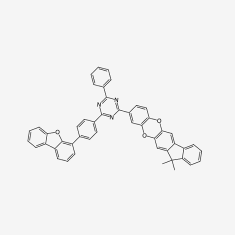 CC1(C)c2ccccc2-c2cc3c(cc21)Oc1cc(-c2nc(-c4ccccc4)nc(-c4ccc(-c5cccc6c5oc5ccccc56)cc4)n2)ccc1O3